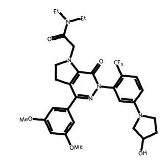 CCN(CC)C(=O)CN1CCc2c(-c3cc(OC)cc(OC)c3)nn(-c3cc(N4CCC(O)C4)ccc3C(F)(F)F)c(=O)c21